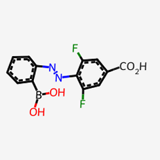 O=C(O)c1cc(F)c(/N=N/c2ccccc2B(O)O)c(F)c1